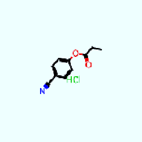 CCC(=O)Oc1ccc(C#N)cc1.Cl